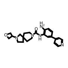 Nc1ccc(-c2ccncc2)cc1NC(=O)N1CCC2(CC1)CCN(C1COC1)C2